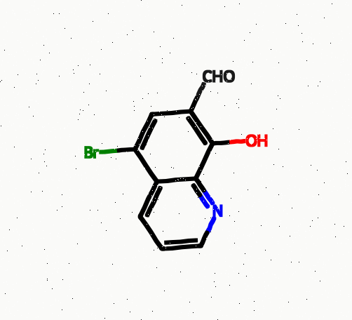 O=Cc1cc(Br)c2cccnc2c1O